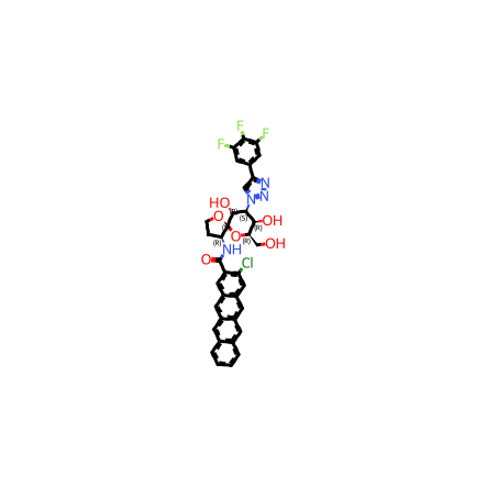 O=C(N[C@@H]1CCO[C@]12O[C@H](CO)[C@H](O)[C@H](n1cc(-c3cc(F)c(F)c(F)c3)nn1)[C@H]2O)c1cc2cc3cc4ccccc4cc3cc2cc1Cl